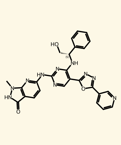 Cn1[nH]c(=O)c2ccc(Nc3ncc(-c4nnc(-c5cccnc5)o4)c(N[C@H](CO)c4ccccc4)n3)nc21